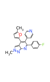 Cc1ccc(-c2c(-c3ccncc3)c(-c3ccc(F)cc3)nc3nn(C)cc23)o1